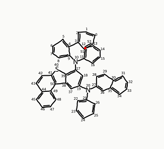 c1ccc(-c2ccccc2N(c2ccccc2)c2cc(N(c3ccccc3)c3ccc4ccccc4c3)cc3c2sc2ccc4ccccc4c23)cc1